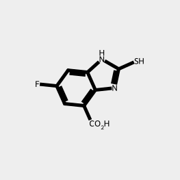 O=C(O)c1cc(F)cc2[nH]c(S)nc12